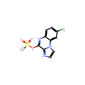 O=S(=O)(Oc1nc2ccc(Cl)cc2n2ccnc12)C(F)(F)F